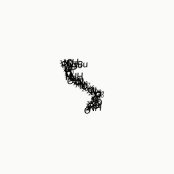 CN1CCC[C@@H]1c1cc2cnc(NC(=O)c3ccc(N4CCC(C5CCN(c6cccc7c6CN(C6CCC(=O)NC6=O)C7=O)CC5)CC4)nc3)cc2n1C(=O)OC(C)(C)C